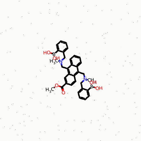 COC(=O)c1ccc2c(CN(C)Cc3ccccc3B(O)O)c3ccccc3c(CN(C)Cc3ccccc3B(O)O)c2c1